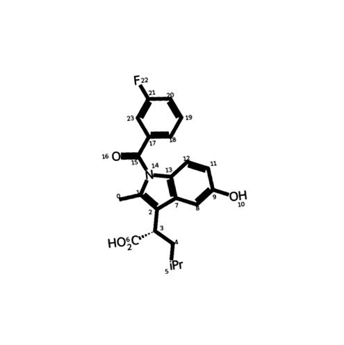 Cc1c([C@H](CC(C)C)C(=O)O)c2cc(O)ccc2n1C(=O)c1cccc(F)c1